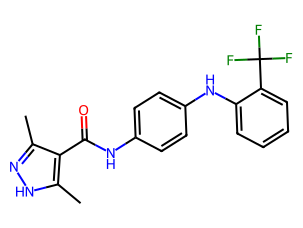 Cc1n[nH]c(C)c1C(=O)Nc1ccc(Nc2ccccc2C(F)(F)F)cc1